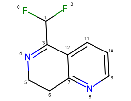 FC(F)C1=NCCc2ncccc21